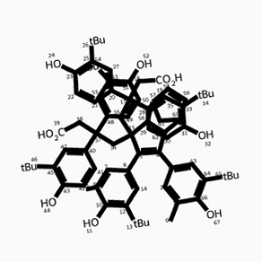 Cc1cc(C2=C(c3cc(C)c(O)c(C(C)(C)C)c3)C(CC(CC(=O)O)(c3ccc(O)c(C(C)(C)C)c3)c3ccc(O)c(C(C)(C)C)c3)(CC(CC(=O)O)(c3ccc(O)c(C(C)(C)C)c3)c3ccc(O)c(C(C)(C)C)c3)C3C4C=CC(C4)C23)cc(C(C)(C)C)c1O